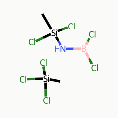 C[Si](Cl)(Cl)Cl.C[Si](Cl)(Cl)NB(Cl)Cl